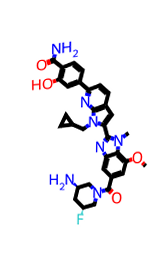 COc1cc(C(=O)N2C[C@H](N)C[C@@H](F)C2)cc2nc(-c3cc4ccc(-c5ccc(C(N)=O)c(O)c5)nc4n3CC3CC3)n(C)c12